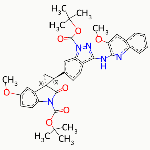 COc1ccc2c(c1)[C@]1(C[C@H]1c1ccc3c(Nc4nc5ccccc5cc4OC)nn(C(=O)OC(C)(C)C)c3c1)C(=O)N2C(=O)OC(C)(C)C